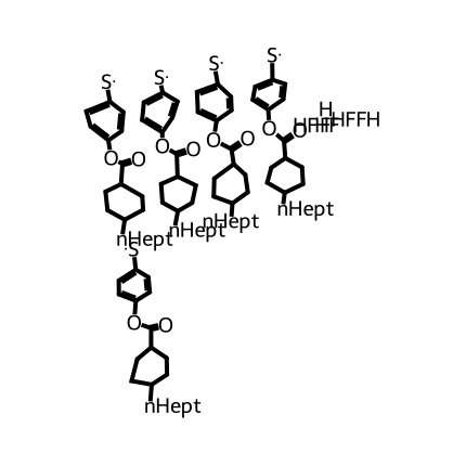 CCCCCCCC1CCC(C(=O)Oc2ccc([S])cc2)CC1.CCCCCCCC1CCC(C(=O)Oc2ccc([S])cc2)CC1.CCCCCCCC1CCC(C(=O)Oc2ccc([S])cc2)CC1.CCCCCCCC1CCC(C(=O)Oc2ccc([S])cc2)CC1.CCCCCCCC1CCC(C(=O)Oc2ccc([S])cc2)CC1.F.F.F.F.F